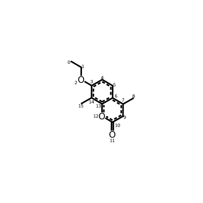 CCOc1ccc2c(C)cc(=O)oc2c1C